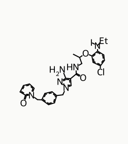 CCN(I)c1ccc(Cl)cc1OC(C)CNC(=O)c1cn(Cc2ccc(Cn3ccccc3=O)cc2)nc1N